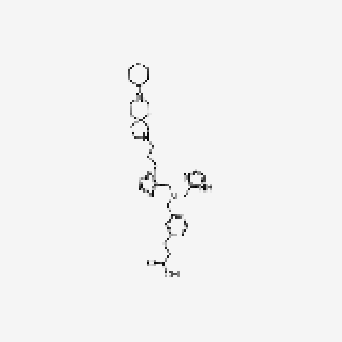 O=C(O)CCc1cccc(CN(Cc2ncc[nH]2)Cc2nccn2CCCN2CCC3(CCN(C4CCCCC4)CC3)C2)c1